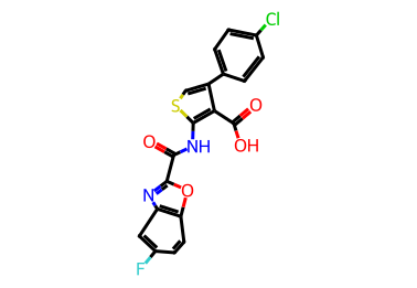 O=C(Nc1scc(-c2ccc(Cl)cc2)c1C(=O)O)c1nc2cc(F)ccc2o1